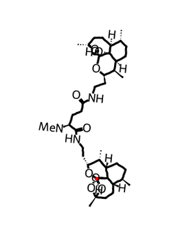 CN[C@@H](CCC(=O)NCC[C@H]1O[C@@H]2O[C@]3(C)CC[C@H]4[C@H](C)CC[C@@H]([C@H]1C)[C@@]24OO3)C(=O)NCC[C@H]1O[C@@H]2O[C@]3(C)CC[C@H]4[C@H](C)CC[C@@H]([C@H]1C)[C@@]24OO3